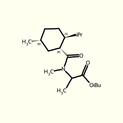 CC(C)COC(=O)C(C)N(C)C(=O)[C@@H]1C[C@H](C)CC[C@H]1C(C)C